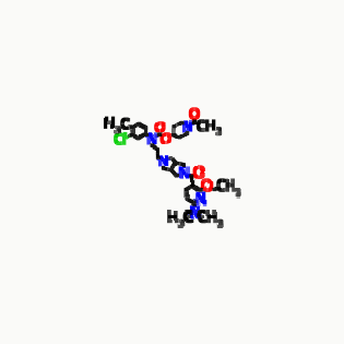 CCOc1nc(N(C)C)ccc1C(=O)N1CC2CN(CCCN(C(=O)OC3CCN(C(C)=O)CC3)c3ccc(C)c(Cl)c3)CC2C1